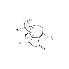 CC1=CC(=O)C2=C(C)CC[C@H]3[C@H]([C@H]12)C3(C)C